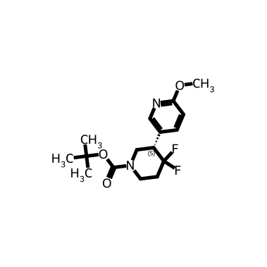 COc1ccc([C@H]2CN(C(=O)OC(C)(C)C)CCC2(F)F)cn1